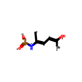 C/C(=C\C=C(\O)C(C)C)N[SH](=O)=O